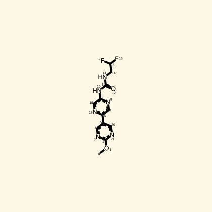 COc1ncc(-c2cnc(NC(=O)NCC(F)F)cn2)cn1